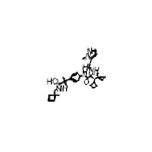 Cn1nccc1C(=O)N[C@H](C(=O)Nc1ccc(C(C)(C)C(O)NCC2(C)CCC2)cc1)C(C1CCC1)C1(C)CC1